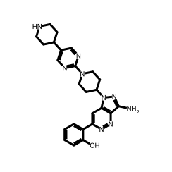 Nc1nn(C2CCN(c3ncc(C4CCNCC4)cn3)CC2)c2cc(-c3ccccc3O)nnc12